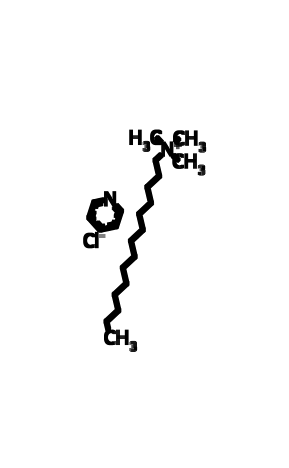 CCCCCCCCCCCCCC[N+](C)(C)C.[Cl-].c1ccncc1